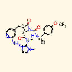 CC[C@@H](NC(=O)N1C(=O)[C@H](Cc2ccnc(N)c2)[C@H]1C(=O)N(C)c1nccn1C)c1ccc(OC(F)(F)F)cc1